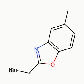 Cc1ccc2oc(CC(C)(C)C)nc2c1